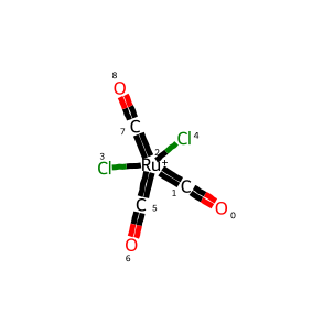 O=[C]=[Ru+]([Cl])([Cl])(=[C]=O)=[C]=O